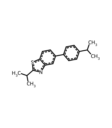 CC(C)c1ccc(-c2ccc3sc(C(C)C)nc3c2)cc1